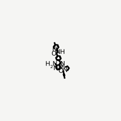 CC#CC(=O)N1CCC[C@H]1c1nc(-c2ccc(C(=O)Nc3ccc(C)cn3)cc2)c2c(N)nccn12